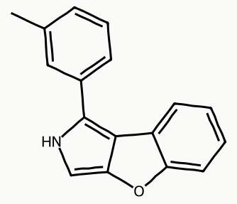 Cc1cccc(-c2[nH]cc3oc4ccccc4c23)c1